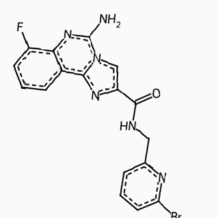 Nc1nc2c(F)cccc2c2nc(C(=O)NCc3cccc(Br)n3)cn12